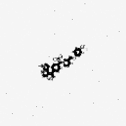 O=[SH](=O)C(C1CCC(c2cnnc3cnc4[nH]ccc4c23)CC1)N1CCCC(COc2ccc(C(F)(F)F)cc2)C1